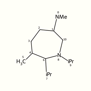 CNC1CCC(C)C(C(C)C)N(C(C)C)C1